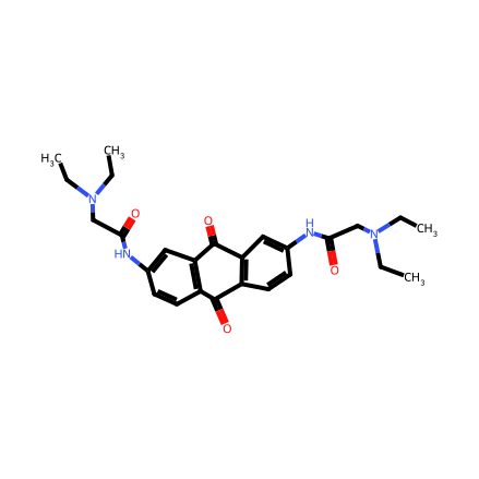 CCN(CC)CC(=O)Nc1ccc2c(c1)C(=O)c1cc(NC(=O)CN(CC)CC)ccc1C2=O